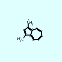 Cc1cc(C)c2cccccc1-2